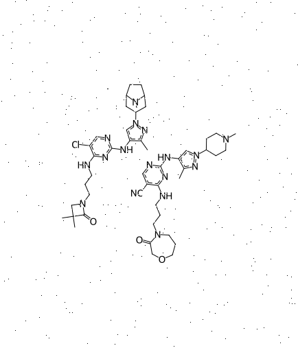 Cc1nn(C2CC3CCC(C2)N3C)cc1Nc1ncc(Cl)c(NCCCN2CC(C)(C)C2=O)n1.Cc1nn(C2CCN(C)CC2)cc1Nc1ncc(C#N)c(NCCCN2CCCOCC2=O)n1